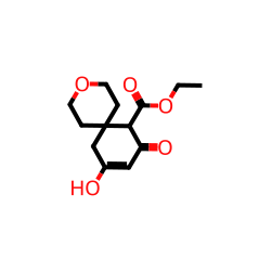 CCOC(=O)C1C(=O)C=C(O)CC12CCOCC2